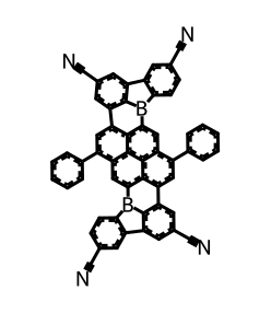 N#Cc1ccc2c(c1)-c1cc(C#N)cc3c1B2c1cc2c(-c4ccccc4)cc4c5c(cc6c(-c7ccccc7)cc-3c1c6c25)B1c2ccc(C#N)cc2-c2cc(C#N)cc-4c21